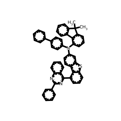 CC1(C)c2ccccc2-c2c(N(c3ccc(-c4ccccc4)cc3)c3ccc4c(c3)sc3cccc(-c5nc(-c6ccccc6)nc6ccccc56)c34)cccc21